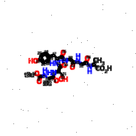 CC[C@H](C)[C@H](NC(=O)OC(C)(C)C)C(=O)N[C@@H](CO)C(=O)N[C@@H](Cc1ccc(O)cc1)C(=O)NCC(=O)NCC(=O)N[C@@H](C)C(=O)O